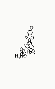 COc1ccc(C2(C(=O)N(CCCc3cc(C)c(C)o3)Cc3nc(C(=O)NS(N)(=O)=O)c(C)s3)CC2)cc1